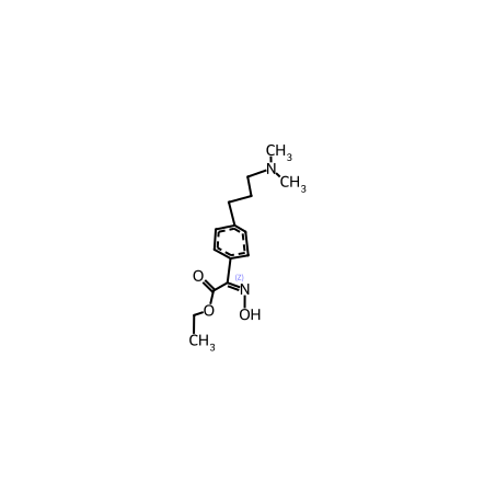 CCOC(=O)/C(=N\O)c1ccc(CCCN(C)C)cc1